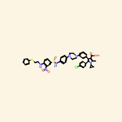 Cc1c(C(=O)O)c(-c2cccc(N3CCN(c4ccc(N[S+]([O-])c5ccc(NCCSc6ccccc6)c([N+](=O)[O-])c5)cc4)CC3)c2)c(-c2ccc(Cl)cc2)n1C1CC1